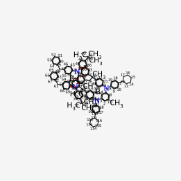 Cc1cc2c3c(c1)N(c1ccc(C4CCCCC4)cc1)c1ccc(C(C)(Cc4cc5c6c(c4)N(c4ccc(C(C)(C)C)cc4)c4ccc(Cc7ccccc7)cc4B6c4cc(Cc6ccccc6)ccc4N5c4ccc(C(C)(C)C)cc4)c4ccccc4)cc1B3c1cc(C(C)(C)c3ccccc3)ccc1N2c1ccc(C2CCCCC2)cc1